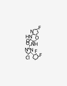 O=C(N[C@H]1COc2cc(F)cnc2NC1=O)c1ncc(Cl)c(-c2cccc(F)c2F)n1